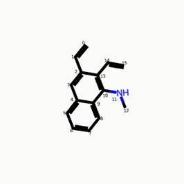 C=Cc1cc2ccccc2c(NC)c1C=C